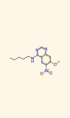 CCCCCNc1ncnc2cc(OC)c([N+](=O)[O-])cc12